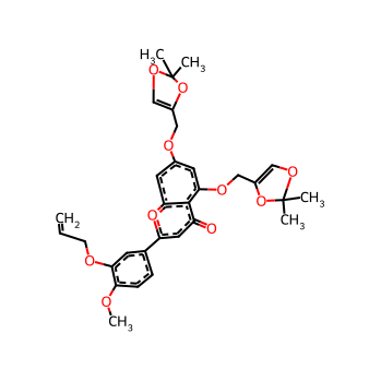 C=CCOc1cc(-c2cc(=O)c3c(OCC4=COC(C)(C)O4)cc(OCC4=COC(C)(C)O4)cc3o2)ccc1OC